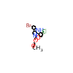 COCCOCC(=O)N1CCc2c([nH]c3ccc(Br)cc23)C1c1cccc(Cl)c1